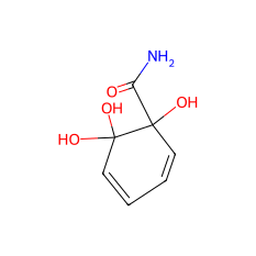 NC(=O)C1(O)C=CC=CC1(O)O